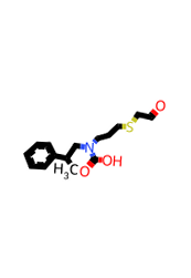 CC(CN(CCCSCC=O)C(=O)O)c1ccccc1